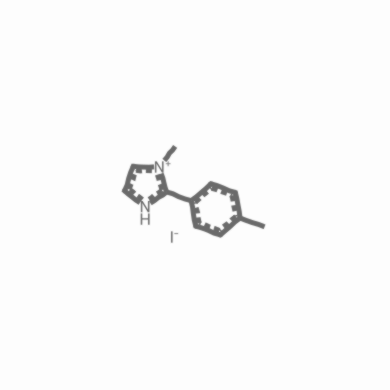 Cc1ccc(-c2[nH]cc[n+]2C)cc1.[I-]